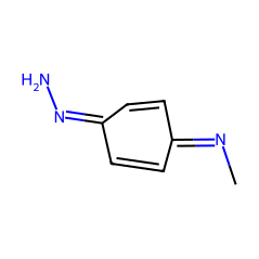 CN=C1C=CC(=NN)C=C1